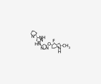 Cc1cc2c(F)c(Oc3cc(Nc4cc(-c5ccccn5)[nH]n4)ncn3)ccc2[nH]1